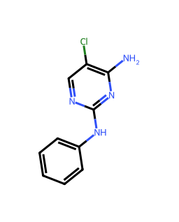 Nc1nc(Nc2ccccc2)ncc1Cl